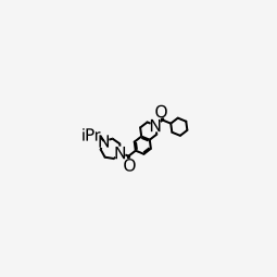 CC(C)N1CCCN(C(=O)c2ccc3c(c2)CCN(C(=O)C2CCCCC2)C3)CC1